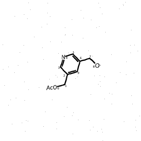 CC(=O)OCc1cncc(C[O])c1